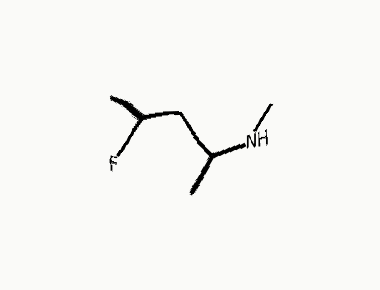 CNC(C)CC(C)F